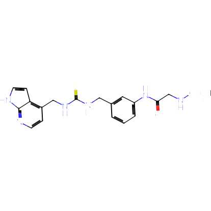 O=C(O)NCC(=O)Nc1cccc(CNC(=S)NCc2ccnc3[nH]ccc23)c1